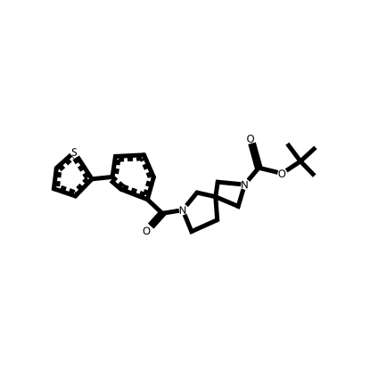 CC(C)(C)OC(=O)N1CC2(CCN(C(=O)c3cccc(-c4cccs4)c3)C2)C1